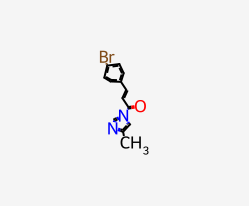 Cc1cn(C(=O)C=Cc2ccc(Br)cc2)cn1